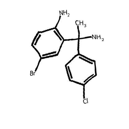 CC(N)(c1ccc(Cl)cc1)c1cc(Br)ccc1N